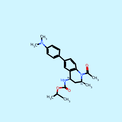 CC(=O)N1c2ccc(-c3ccc(N(C)C)cc3)cc2[C@H](NC(=O)OC(C)C)C[C@@H]1C